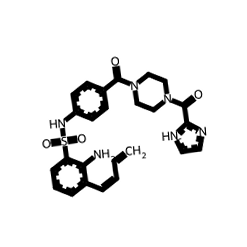 C=C/C=C\c1cccc(S(=O)(=O)Nc2ccc(C(=O)N3CCN(C(=O)c4ncc[nH]4)CC3)cc2)c1N